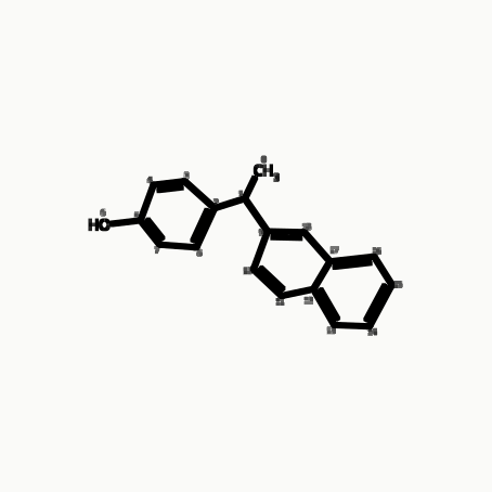 CC(c1ccc(O)cc1)c1ccc2ccccc2c1